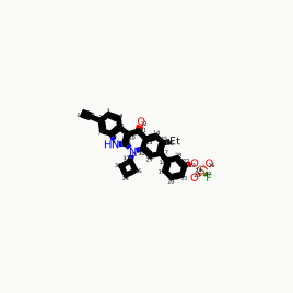 C#Cc1ccc2c(c1)[nH]c1c2c(=O)c2cc(CC)c(-c3cccc(OS(=O)(=O)F)c3)cc2n1C1CCC1